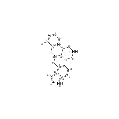 Cc1cccnc1CN(Cc1cccc2[nH]cnc12)C1CCNCC1